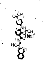 CCOc1c(C(=O)NCC(O)[C@@H]2Cc3ccccc3CN2)ccnc1NC1CCN(C(C)=O)CC1.Cl.Cl